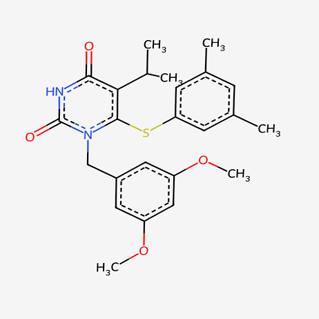 COc1cc(Cn2c(Sc3cc(C)cc(C)c3)c(C(C)C)c(=O)[nH]c2=O)cc(OC)c1